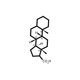 C[C@]12CCCCC1CC[C@@H]1[C@H]2CC[C@]2(C)C(C(=O)O)CC[C@@H]12